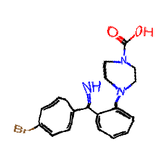 N=C(c1ccc(Br)cc1)c1ccccc1N1CCN(C(=O)O)CC1